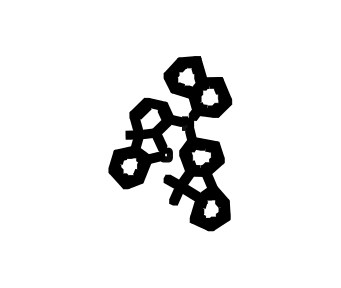 CC1(C)c2ccccc2-c2ccc(N(C3=CC=CC4(C)c5ccccc5OC34)c3cccc4ccccc34)cc21